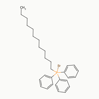 CCCCCCCCCCCCP(Br)(c1ccccc1)(c1ccccc1)c1ccccc1